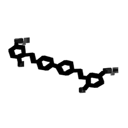 O=S(=O)(O)c1ccc(Cl)c(C=Cc2ccc(-c3ccc(C=Cc4cc(S(=O)(=O)O)ccc4Cl)cc3)cc2)c1